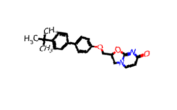 CC(C)(C)c1ccc(-c2ccc(OCC3Cn4ccc(=O)nc4O3)cc2)cc1